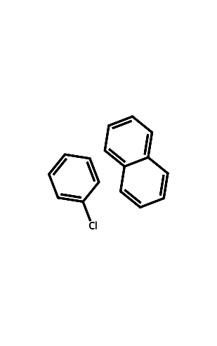 Clc1ccccc1.c1ccc2ccccc2c1